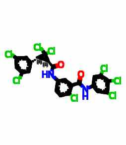 O=C(Nc1cc(Cl)c(Cl)c(Cl)c1)c1cc(NC(=O)[C@H]2[C@H](c3cc(Cl)cc(Cl)c3)C2(Cl)Cl)ccc1Cl